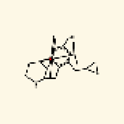 CC(C)C1CC2C3Cc4c(CC5CC5)cc(O)cc4C2(CCN3)CC1=O